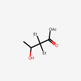 CCC(CC)(C(=O)OC(C)=O)C(C)O